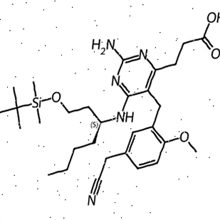 CCCC[C@@H](CCO[Si](C)(C)C(C)(C)C)Nc1nc(N)nc(CCC(=O)O)c1Cc1cc(CC#N)ccc1OC